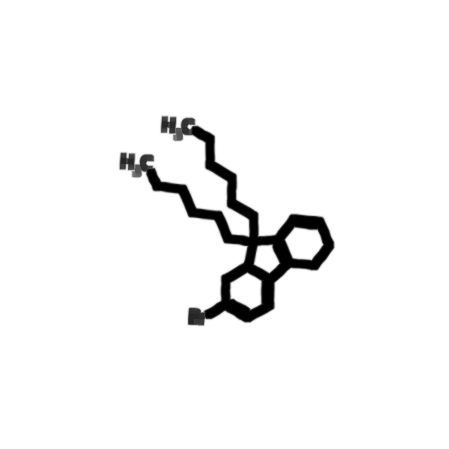 CCCCCCC1(CCCCCC)C2=C(CCC=C2)C2=CC=C(Br)CC21